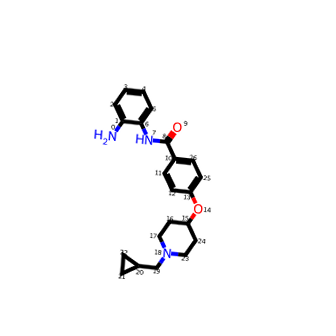 Nc1ccccc1NC(=O)c1ccc(OC2CCN(CC3CC3)CC2)cc1